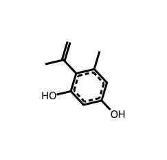 C=C(C)c1c(C)cc(O)cc1O